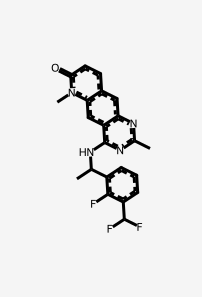 Cc1nc(NC(C)c2cccc(C(F)F)c2F)c2cc3c(ccc(=O)n3C)cc2n1